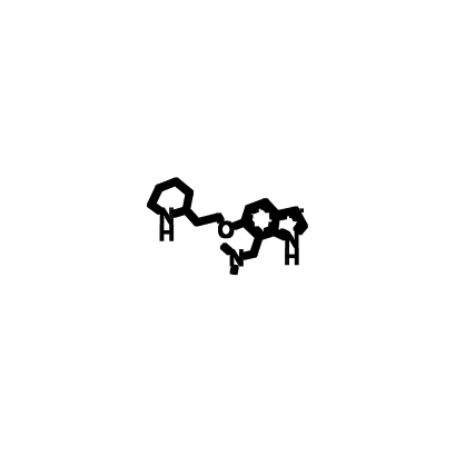 CN(C)Cc1c(OCCC2CCCCN2)ccc2[c]c[nH]c12